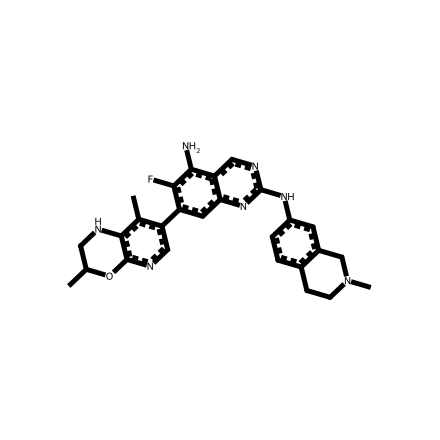 Cc1c(-c2cc3nc(Nc4ccc5c(c4)CN(C)CC5)ncc3c(N)c2F)cnc2c1NCC(C)O2